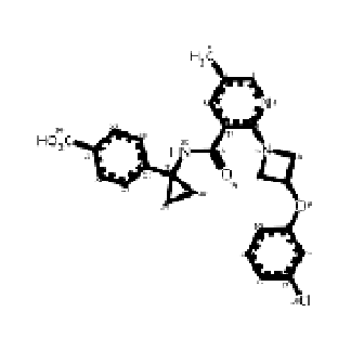 Cc1cnc(N2CC(Oc3cccc(Cl)c3)C2)c(C(=O)NC2(c3ccc(C(=O)O)cc3)CC2)c1